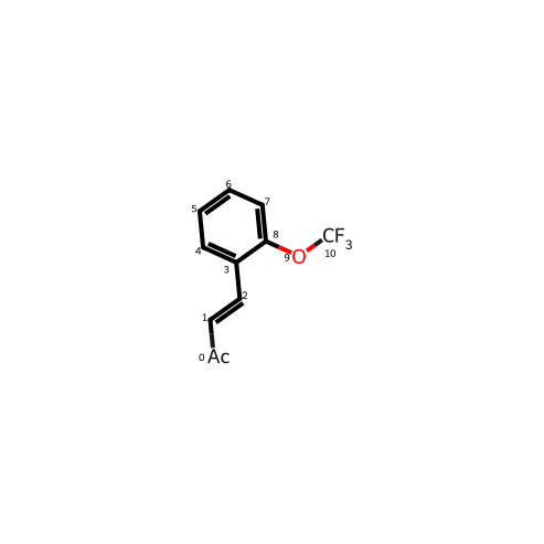 CC(=O)C=Cc1ccccc1OC(F)(F)F